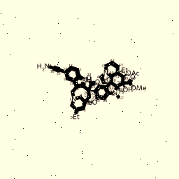 CCC1=C[C@H]2CN(C1)Cc1c([nH]c3ccc(C#CN)cc13)[C@@](C(=O)OC)(c1cc3c(cc1OC)N(C)[C@H]1[C@@](O)(C(=O)OC)[C@H](OC(C)=O)[C@]4(CC)C=CCN5CC[C@]31[C@@H]54)C2